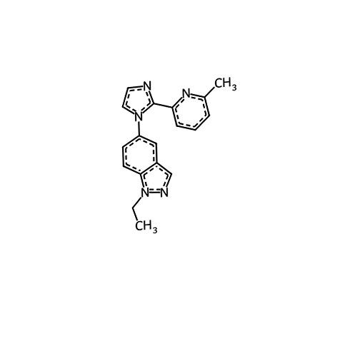 CCn1ncc2cc(-n3ccnc3-c3cccc(C)n3)ccc21